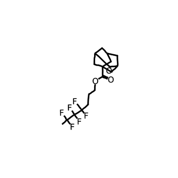 CC(F)(F)C(F)(F)C(F)(F)CCCOC(=O)C12CC3CC(C1)C(=O)C(C3)C2